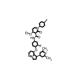 CCOc1ccn(-c2ccc(F)cc2)c(=O)c1C(=O)Nc1ccc(Oc2ccnn3ccc(-c4cc(C)nc(C)c4)c23)c(F)c1